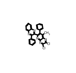 Cc1c(-c2ccccc2)c(-c2nc3ccccc3nc2-c2ccccc2)nc2nc(Cl)c(Cl)nc12